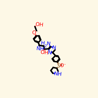 N=C(/C=C(\O)c1nc(-c2ccc([S+]([O-])C3CCCNC3)cc2)cnc1N)c1ccc(OCCO)cc1